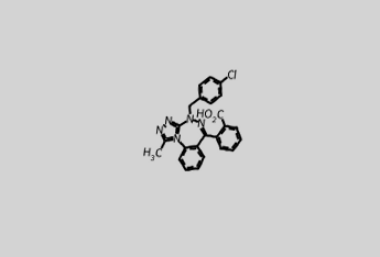 Cc1nnc2n1-c1ccccc1C(c1ccccc1C(=O)O)=NN2Cc1ccc(Cl)cc1